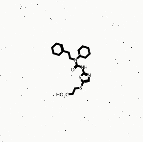 O=C(O)CCSc1cnc(NC(=O)N(CCC2=CCCCC2)C2CCCCC2)s1